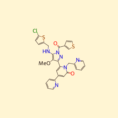 COc1c(-c2cc(-c3ccccn3)cc(=O)n2Cc2ccccn2)nn(C(=O)c2ccsc2)c1NCc1ccc(Cl)s1